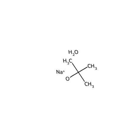 CC(C)(C)[O-].O.[Na+]